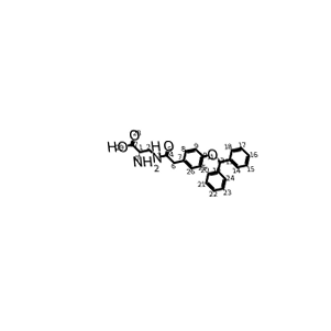 N[C@@H](CNC(=O)Cc1ccc(OC(c2ccccc2)c2ccccc2)cc1)C(=O)O